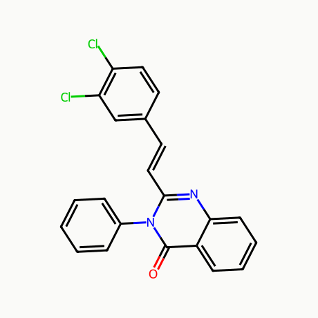 O=c1c2ccccc2nc(C=Cc2ccc(Cl)c(Cl)c2)n1-c1ccccc1